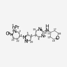 CCCn1cc(-n2cc(-c3cnc(NC4CCOCC4)nc3)cn2)ccc1=O